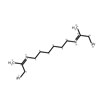 C/C(CC(C)C)=N/CCCCCC/N=C(\C)CC(C)C